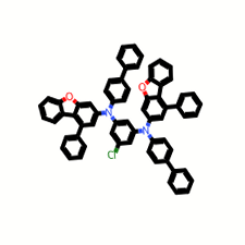 Clc1cc(N(c2ccc(-c3ccccc3)cc2)c2cc(-c3ccccc3)c3c(c2)oc2ccccc23)cc(N(c2ccc(-c3ccccc3)cc2)c2cc(-c3ccccc3)c3c(c2)oc2ccccc23)c1